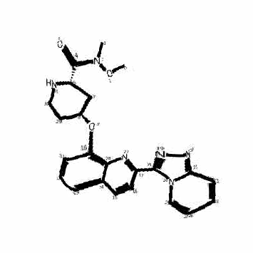 CON(C)C(=O)[C@@H]1C[C@@H](Oc2cccc3ccc(-c4nnc5ccccn45)nc23)CCN1